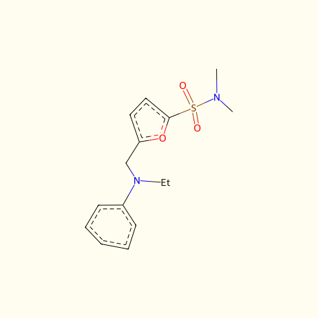 CCN(Cc1ccc(S(=O)(=O)N(C)C)o1)c1ccccc1